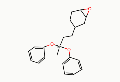 C[Si](CCC1CCC2OC2C1)(Oc1ccccc1)Oc1ccccc1